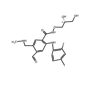 CNCc1cc(C(=O)NOC[C@H](O)CO)c(Nc2ccc(I)cc2F)cc1C=O